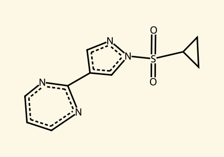 O=S(=O)(C1CC1)n1cc(-c2ncccn2)cn1